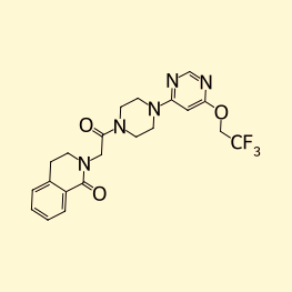 O=C(CN1CCc2ccccc2C1=O)N1CCN(c2cc(OCC(F)(F)F)ncn2)CC1